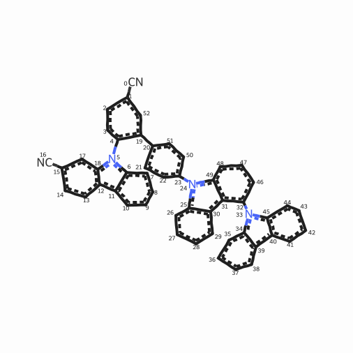 N#Cc1ccc(-n2c3ccccc3c3ccc(C#N)cc32)c(-c2ccc(-n3c4ccccc4c4c(-n5c6ccccc6c6ccccc65)cccc43)cc2)c1